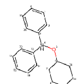 c1ccc([SiH](OC2CCCCC2)c2ccccc2)cc1